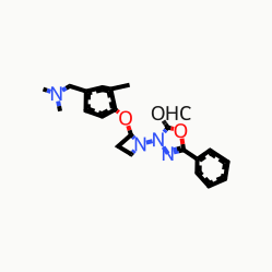 Cc1cc(CN(C)C)ccc1OC1CCN1N1N=C(c2ccccc2)OC1C=O